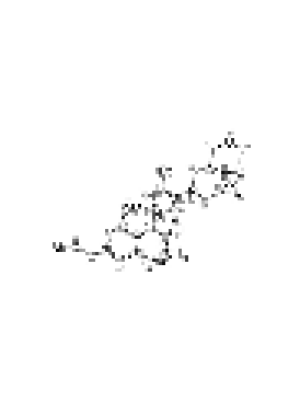 CCc1nn2c(-c3c(OC)cc(COC)cc3OC)c(C)oc2c1N(CC1CC1)CC1COCOC1